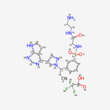 N#CCC(c1cccc(S(=O)(=O)NCC(=O)NCCN)c1)n1cc(-c2ncnc3[nH]ccc23)cn1.O=C(O)C(F)(F)F